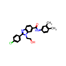 Cc1ccc(NC(=O)c2ccc3nc(-c4ccc(Cl)cc4)n(CCO)c3c2)cc1C